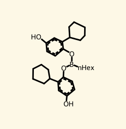 CCCCCCB(Oc1ccc(O)cc1C1CCCCC1)Oc1ccc(O)cc1C1CCCCC1